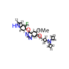 COc1cc2c(Oc3ccc4[nH]c(C)cc4c3F)ncnc2cc1OC[C@H]1C[C@H](N(C2CCC2)C2CCC2)C1